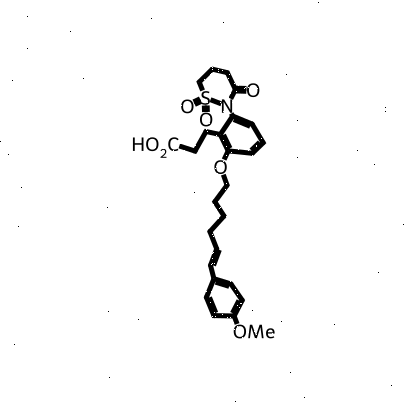 COc1ccc(/C=C/CCCCOc2cccc(N3C(=O)CCCS3(=O)=O)c2CCC(=O)O)cc1